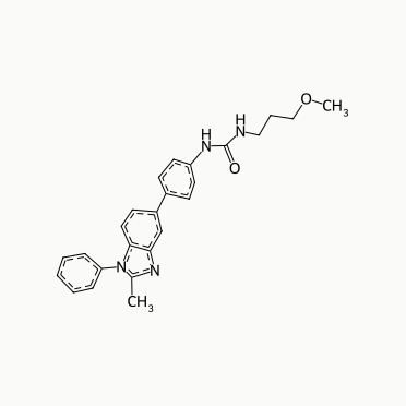 COCCCNC(=O)Nc1ccc(-c2ccc3c(c2)nc(C)n3-c2ccccc2)cc1